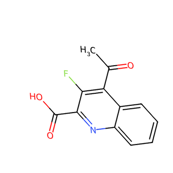 CC(=O)c1c(F)c(C(=O)O)nc2ccccc12